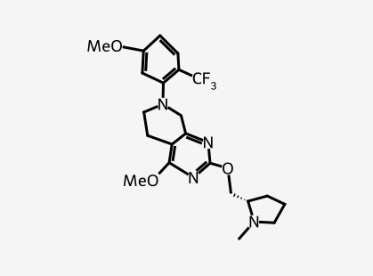 COc1ccc(C(F)(F)F)c(N2CCc3c(nc(OC[C@@H]4CCCN4C)nc3OC)C2)c1